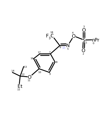 CCCS(=O)(=O)O/N=C(/c1ccc(OC(C)(C)CC)cc1)C(F)(F)F